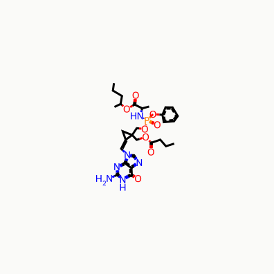 CCCC(=O)OCC1(CO[P@@](=O)(NC(C)C(=O)OC(C)CCC)Oc2ccccc2)C/C1=C/n1cnc2c(=O)[nH]c(N)nc21